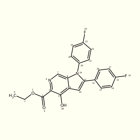 CCOC(=O)c1ncc2c(cc(-c3ccc(F)cc3)n2-c2ccc(F)cc2)c1O